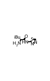 CCC(C)[C@H](N)C(=O)Nc1nncs1